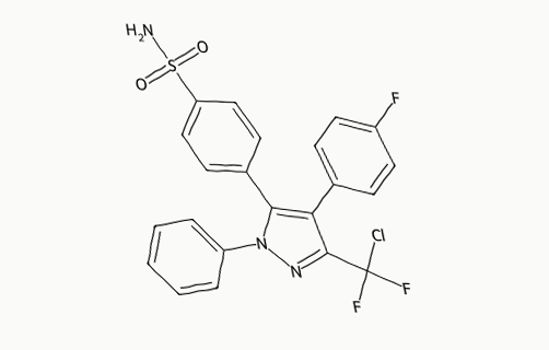 NS(=O)(=O)c1ccc(-c2c(-c3ccc(F)cc3)c(C(F)(F)Cl)nn2-c2ccccc2)cc1